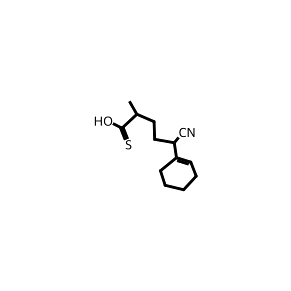 CC(CCC(C#N)C1=CCCCC1)C(O)=S